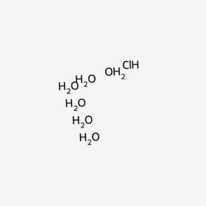 Cl.O.O.O.O.O.O